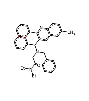 CCN(CC)C(=O)CN(Cc1ccccc1)C(c1ccccc1)c1cc2cc(C)ccc2nc1-c1ccccc1